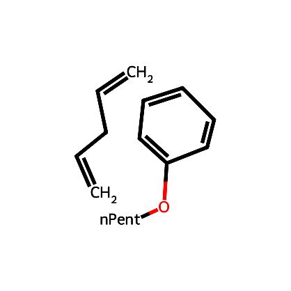 C=CCC=C.CCCCCOc1ccccc1